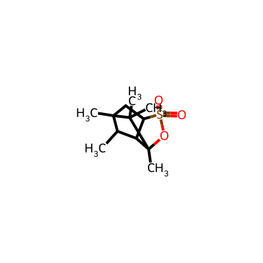 CC1C2C3CC1(C)C(C)(C)C2(C)OS3(=O)=O